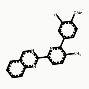 COc1ccc(-c2nc(-c3ncc4ccccc4n3)ccc2C)cc1Cl